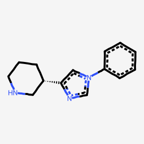 c1ccc(-n2cnc([C@H]3CCCNC3)c2)cc1